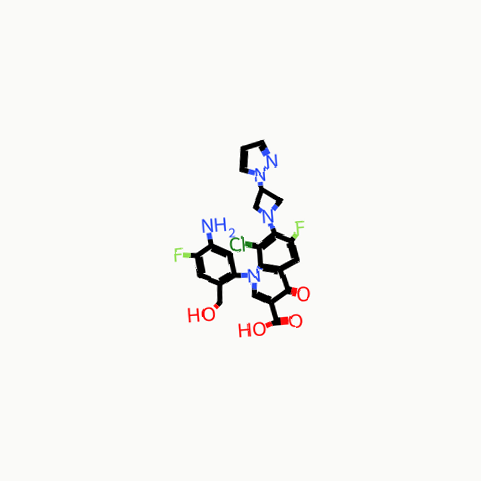 Nc1cc(-n2cc(C(=O)O)c(=O)c3cc(F)c(N4CC(n5cccn5)C4)c(Cl)c32)c(CO)cc1F